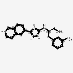 NC[C@@H](Cc1cccc(C(F)(F)F)c1)Nc1nnc(-c2ccc3cnccc3c2)s1